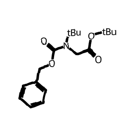 CC(C)(C)OC(=O)CN(C(=O)OCc1ccccc1)C(C)(C)C